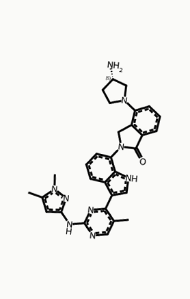 Cc1cnc(Nc2cc(C)n(C)n2)nc1-c1c[nH]c2c(N3Cc4c(cccc4N4CC[C@H](N)C4)C3=O)cccc12